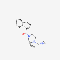 CCCC[C@H]1CN(C(=O)c2cccc3ccccc23)CCN1CN1CC1